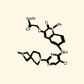 CNC(=O)COc1cc2cc(Nc3nc(N4CCC5(CC4)CN(C)C5)ncc3Cl)ccc2n(C(C)C)c1=O